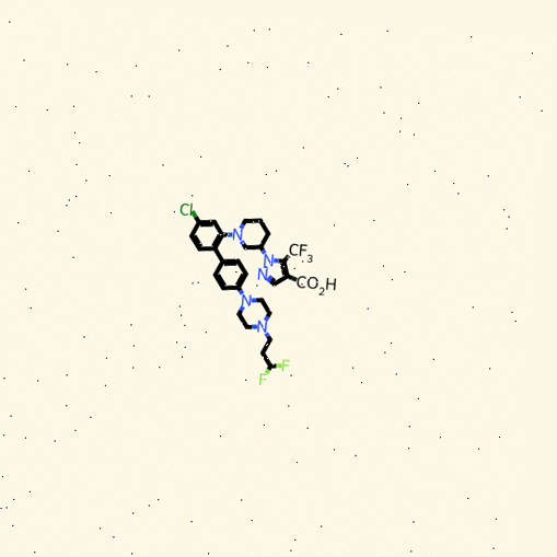 O=C(O)c1cnn(C2CCCN(c3cc(Cl)ccc3-c3ccc(N4CCN(CCC(F)F)CC4)cc3)C2)c1C(F)(F)F